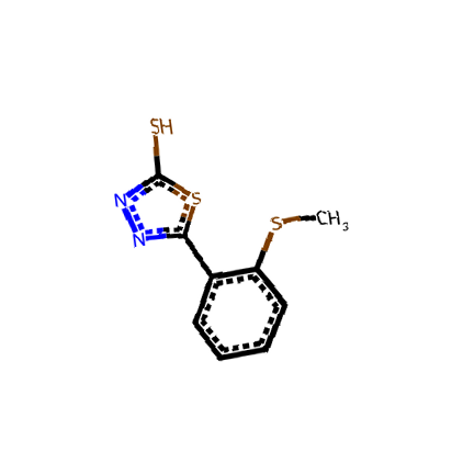 CSc1ccccc1-c1nnc(S)s1